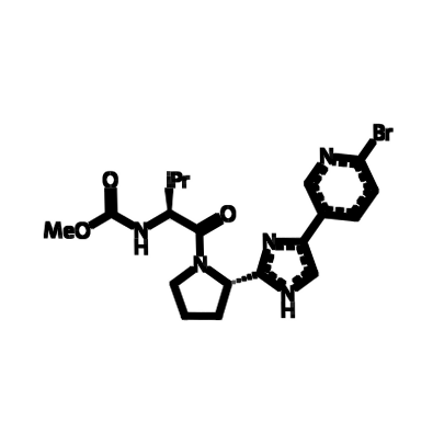 COC(=O)N[C@H](C(=O)N1CCC[C@H]1c1nc(-c2ccc(Br)nc2)c[nH]1)C(C)C